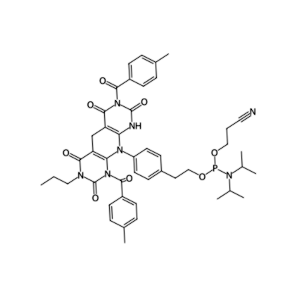 CCCn1c(=O)c2c(n(C(=O)c3ccc(C)cc3)c1=O)N(c1ccc(CCOP(OCCC#N)N(C(C)C)C(C)C)cc1)c1[nH]c(=O)n(C(=O)c3ccc(C)cc3)c(=O)c1C2